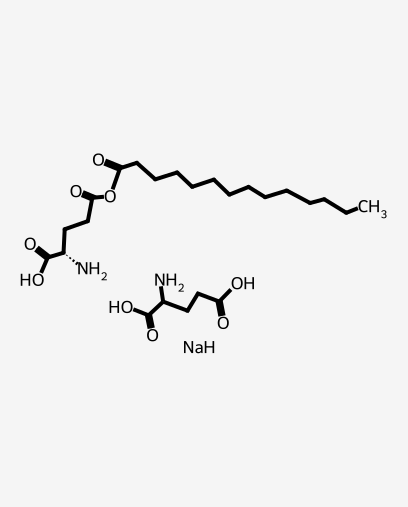 CCCCCCCCCCCCCC(=O)OC(=O)CC[C@H](N)C(=O)O.NC(CCC(=O)O)C(=O)O.[NaH]